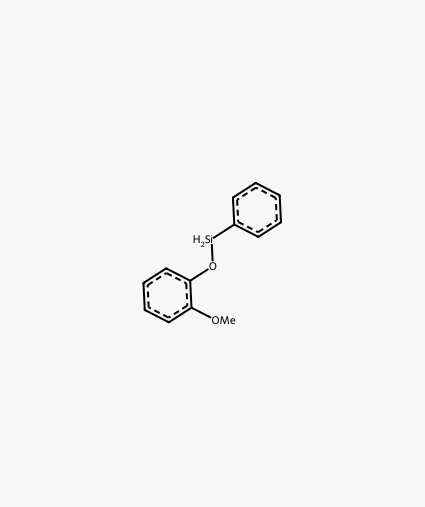 COc1ccccc1O[SiH2]c1ccccc1